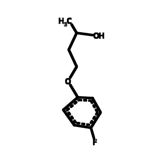 CC(O)CCOc1ccc(F)cc1